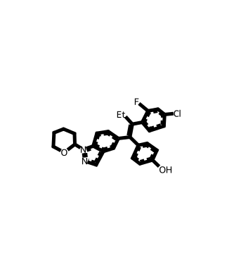 CC/C(=C(/c1ccc(O)cc1)c1ccc2c(cnn2C2CCCCO2)c1)c1ccc(Cl)cc1F